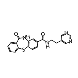 O=C(NCCc1cncnc1)c1ccc2c(c1)NC(=O)c1ccccc1S2